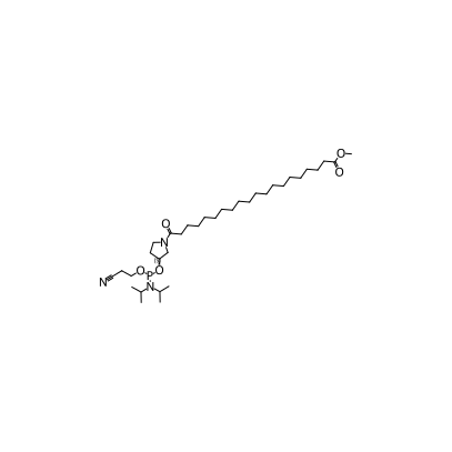 COC(=O)CCCCCCCCCCCCCCCCCCC(=O)N1CC[C@H](OP(OCCC#N)N(C(C)C)C(C)C)C1